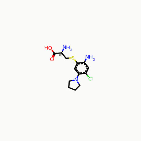 Nc1cc(Cl)c(N2CCCC2)cc1SC[C@H](N)C(=O)O